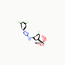 OC1(c2cc(F)cc(Nc3ncn(-c4cc(F)cc(F)c4)n3)c2)COC1